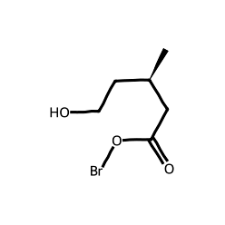 C[C@H](CCO)CC(=O)OBr